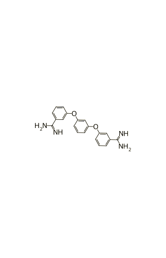 N=C(N)c1cccc(Oc2cccc(Oc3cccc(C(=N)N)c3)c2)c1